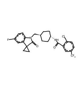 O=C(N[C@H]1CC[C@H](CN2C(=O)C3(CC3)c3cc(F)ccc32)CC1)c1cc(C(F)(F)F)ccc1Cl